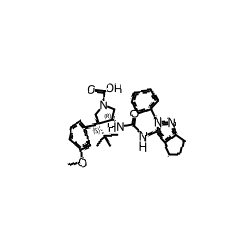 COc1cccc([C@@]2(C(C)(C)C)CN(C(=O)O)C[C@@H]2NC(=O)Nc2c3c(nn2-c2ccccc2)CCC3)c1